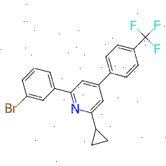 FC(F)(F)c1ccc(-c2cc(-c3cccc(Br)c3)nc(C3CC3)c2)cc1